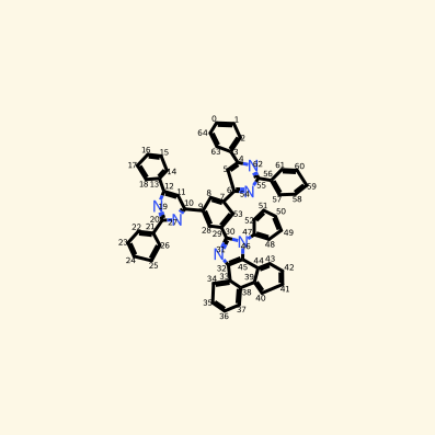 c1ccc(-c2cc(-c3cc(-c4cc(-c5ccccc5)nc(-c5ccccc5)n4)cc(-c4nc5c6ccccc6c6ccccc6c5n4-c4ccccc4)c3)nc(-c3ccccc3)n2)cc1